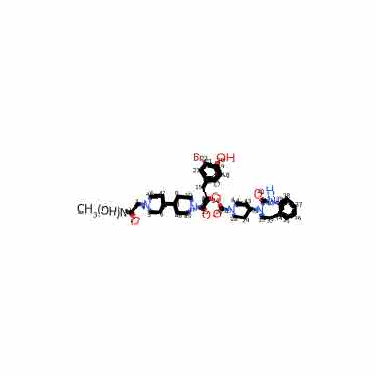 CN(O)C(=O)CN1CCC(C2CCN(C(=O)[C@@H](Cc3ccc(O)c(Br)c3)OC(=O)N3CCC(N4CCc5ccccc5NC4=O)CC3)CC2)CC1